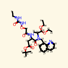 CCNC(=O)NOCC(=O)NC(CC(=O)OC(C)(C)C)C(=O)N(Cc1cccc2cccnc12)C(C)C(OCC)OCC